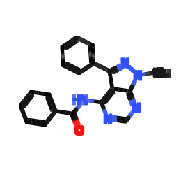 CC(C)(C)n1nc(-c2ccccc2)c2c(NC(=O)c3ccccc3)ncnc21